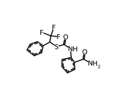 NC(=O)c1ccccc1NC(=O)SC(c1ccccc1)C(F)(F)F